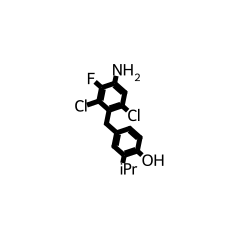 CC(C)c1cc(Cc2c(Cl)cc(N)c(F)c2Cl)ccc1O